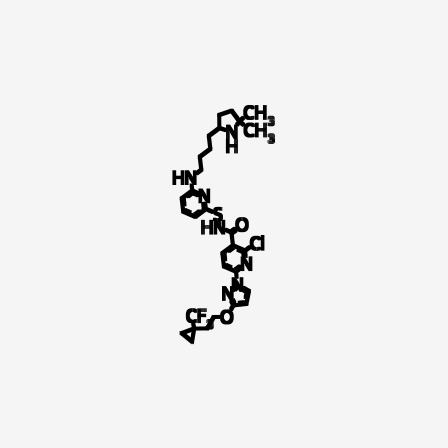 CC1(C)CCC(CCCCNc2cccc(SNC(=O)c3ccc(-n4ccc(OCCC5(C(F)(F)F)CC5)n4)nc3Cl)n2)N1